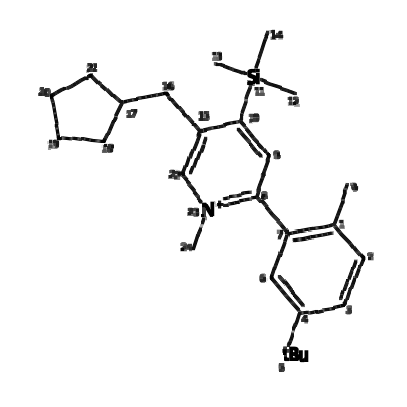 Cc1ccc(C(C)(C)C)cc1-c1cc([Si](C)(C)C)c(CC2CCCC2)c[n+]1C